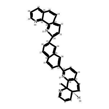 CC12N=CC=C[C@@H]1C=Cc1ccc(-c3ccc4ccc(-c5ccc6ccc7cccnc7c6n5)cc4c3)nc12